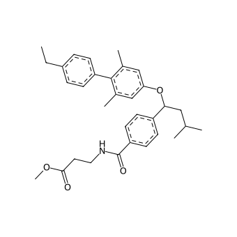 CCc1ccc(-c2c(C)cc(OC(CC(C)C)c3ccc(C(=O)NCCC(=O)OC)cc3)cc2C)cc1